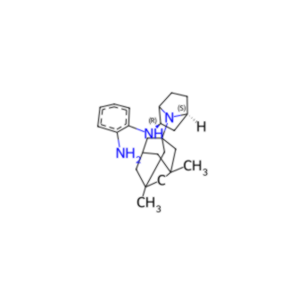 CC12CC3CC(C)(C1)CC(N1C4CC[C@H]1C[C@H]4Nc1ccccc1N)(C3)C2